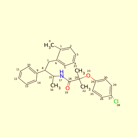 Cc1ccccc1CC(c1ccccc1)C(C)NC(=O)C(C)(C)Oc1ccc(Cl)cc1